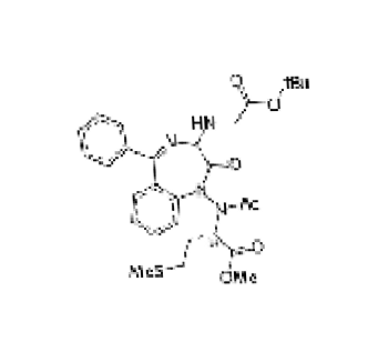 COC(=O)[C@H](CCSC)N(C(C)=O)N1C(=O)C(NCC(=O)OC(C)(C)C)N=C(c2ccccc2)c2ccccc21